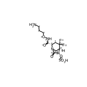 NCCCONC(=O)[C@@H]1CC(F)(F)[C@@H]2CN1C(=O)N2OS(=O)(=O)O